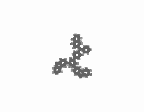 c1ccc(N(c2ccc(-c3cc(-c4ccc5sc6ccccc6c5c4)cc(-c4ccc5sc6ccccc6c5c4)c3)cc2)c2ccc3ccccc3c2)cc1